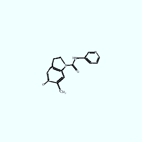 Cc1cc2c(cc1Cl)CCN2C(=O)Nc1cccnc1